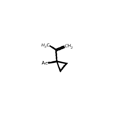 C=C(C)C1(C(C)=O)CC1